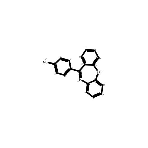 N#Cc1ccc(C2=Nc3ccccc3Oc3ccccc32)cc1